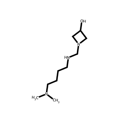 CN(C)CCCCNCN1CC(O)C1